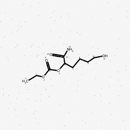 CCOC(=O)OC(CCCCO)C(N)=O